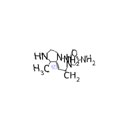 C=C(/C=C1/C(C)NCCN1N)NCC(N)=O